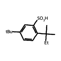 CCC(C)(C)c1ccc(C(C)(C)C)cc1S(=O)(=O)O